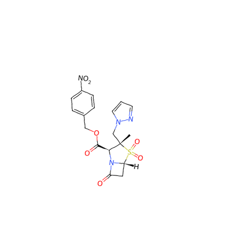 C[C@]1(Cn2cccn2)[C@H](C(=O)OCc2ccc([N+](=O)[O-])cc2)N2C(=O)C[C@H]2S1(=O)=O